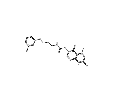 Cc1cc(=O)[nH]c2ncn(CC(=O)NCCCOc3cccc(Cl)c3)c(=O)c12